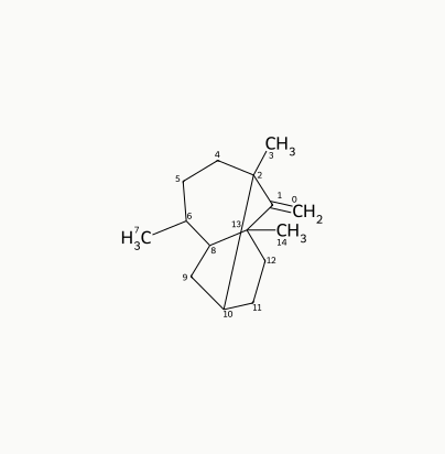 C=C1C2(C)CCC(C)C3CC2CCC13C